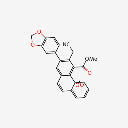 COC(=O)c1c(CC#N)c(-c2ccc3c(c2)OCO3)cc2c1C13OCOC1C=CC=C3C=C2